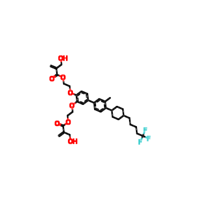 C=C(CO)C(=O)OCCOc1ccc(-c2ccc(C3CCC(CCCCC(F)(F)F)CC3)c(C)c2)cc1OCCOC(=O)C(=C)CO